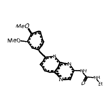 CCNC(=O)Nc1cnc2ccc(-c3ccc(OC)c(OC)c3)nc2n1